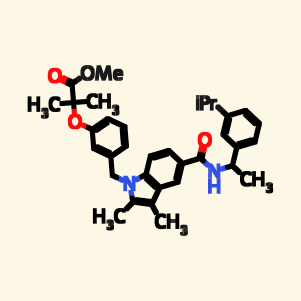 COC(=O)C(C)(C)Oc1cccc(Cn2c(C)c(C)c3cc(C(=O)NC(C)c4cccc(C(C)C)c4)ccc32)c1